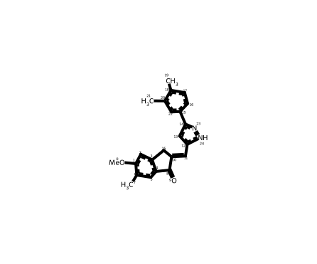 COc1cc2c(cc1C)C(=O)/C(=C/c1cc(-c3ccc(C)c(C)c3)n[nH]1)C2